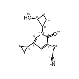 N#CSc1cc(C2CC2)cn([C@@H]2CC[C@@H]2O)c1=O